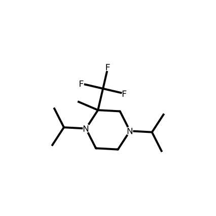 CC(C)N1CCN(C(C)C)C(C)(C(F)(F)F)C1